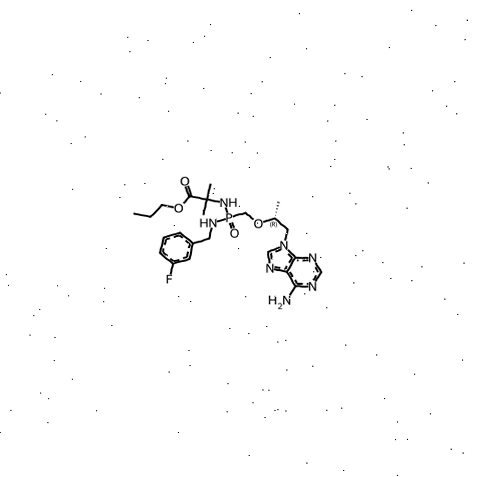 CCCOC(=O)C(C)(C)NP(=O)(CO[C@H](C)Cn1cnc2c(N)ncnc21)NCc1cccc(F)c1